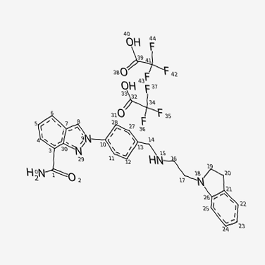 NC(=O)c1cccc2cn(-c3ccc(CNCCN4CCc5ccccc54)cc3)nc12.O=C(O)C(F)(F)F.O=C(O)C(F)(F)F